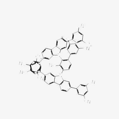 N#Cc1cc(C#N)cc(-c2ccc3c4ccc(-c5cc(C#N)cc(C#N)c5)cc4n(-c4ccc(-c5cc(C#N)cc(C(F)(F)F)c5)c(-n5c6cc(-c7cc(C#N)cc(C#N)c7)ccc6c6ccc(-c7cc(C#N)cc(C#N)c7)cc65)c4C#N)c3c2)c1